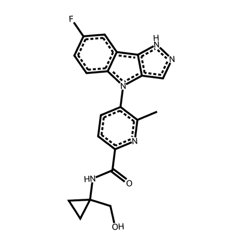 Cc1nc(C(=O)NC2(CO)CC2)ccc1-n1c2ccc(F)cc2c2[nH]ncc21